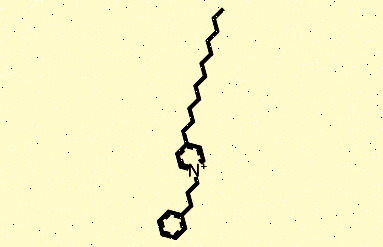 CCCCCCCCCCCCc1cc[n+](CCCc2ccccc2)cc1